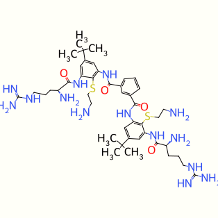 CC(C)(C)c1cc(NC(=O)c2cccc(C(=O)Nc3cc(C(C)(C)C)cc(NC(=O)[C@@H](N)CCCNC(=N)N)c3SCCN)c2)c(SCCN)c(NC(=O)[C@@H](N)CCCNC(=N)N)c1